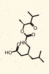 CC(C)C[C@H](CNC(=O)O[C@@H](C)C(=O)C(C)C)CC(=O)O